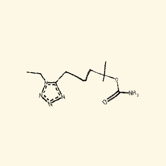 CCn1nnnc1CCCC(C)(C)OC(N)=O